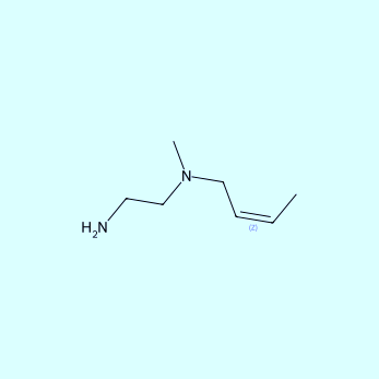 C/C=C\CN(C)CCN